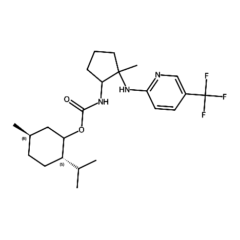 CC(C)[C@@H]1CC[C@@H](C)CC1OC(=O)NC1CCCC1(C)Nc1ccc(C(F)(F)F)cn1